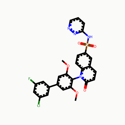 COc1cc(-c2cc(F)cc(Cl)c2)cc(OC)c1-n1c(=O)ccc2cc(S(=O)(=O)Nc3cccnn3)ccc21